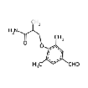 Cc1cc(C=O)cc(C)c1OCC(C)C(N)=O